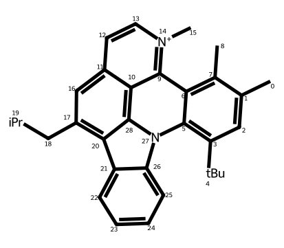 Cc1cc(C(C)(C)C)c2c(c1C)c1c3c(cc[n+]1C)cc(CC(C)C)c1c4ccccc4n2c13